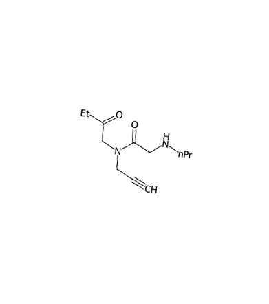 C#CCN(CC(=O)CC)C(=O)CNCCC